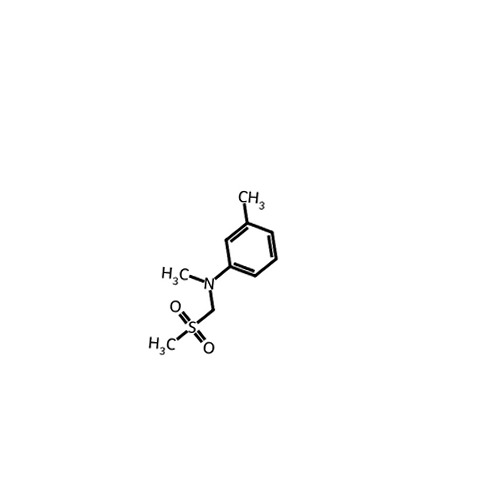 Cc1cccc(N(C)CS(C)(=O)=O)c1